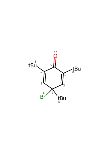 CC(C)(C)C1=CC(Br)(C(C)(C)C)C=C(C(C)(C)C)C1=O